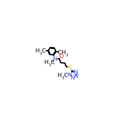 Cc1ccc(C)c(N(C)C(=O)CCCSc2nnnn2C)c1